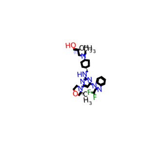 CCN(C/C(C)=C/O)[C@H]1CC[C@H](CNc2nc(N3CCOC[C@H]3C)cc(-n3c(C(F)F)nc4ccccc43)n2)CC1